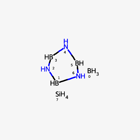 B.B1NBNBN1.[SiH4]